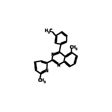 Cc1cccc(-c2nc(-c3cccc(C)n3)nc3cccc(C)c23)c1